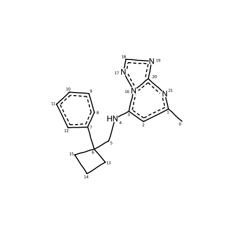 Cc1cc(NCC2(c3ccccc3)CCC2)n2ncnc2n1